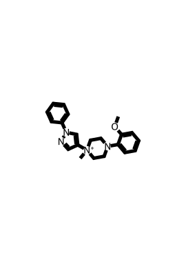 COc1ccccc1N1CC[N+](C)(c2cnn(-c3ccccc3)c2)CC1